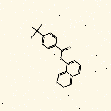 O=C(Oc1cccc2c1=C[N]CC=2)c1ccc(C(F)(F)F)cc1